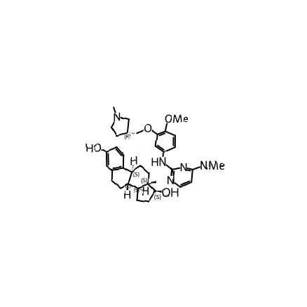 CNc1ccnc(Nc2ccc(OC)c(OC[C@@H]3CCN(C)C3)c2)n1.C[C@]12CC[C@@H]3c4ccc(O)cc4CC[C@H]3[C@@H]1CC[C@@H]2O